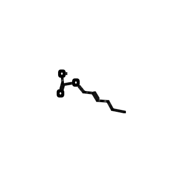 CCCC=CCOC([O])=O